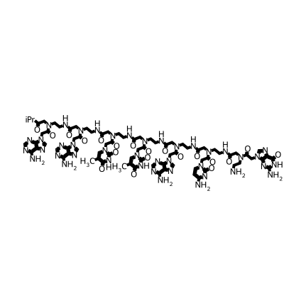 Cc1cn(CC(=O)N(CCNC(=O)CN(CCNC(=O)CN(CCNC(=O)CN(CCN)C(=O)Cn2cnc3c(=O)[nH]c(N)nc32)C(=O)Cn2ccc(N)nc2=O)C(=O)Cn2cnc3c(N)ncnc32)CC(=O)NCCN(CC(=O)NCCN(CC(=O)NCCN(CC(=O)C(C)C)C(=O)Cn2cnc3c(N)ncnc32)C(=O)Cn2cnc3c(N)ncnc32)C(=O)Cn2cc(C)c(=O)[nH]c2=O)c(=O)[nH]c1=O